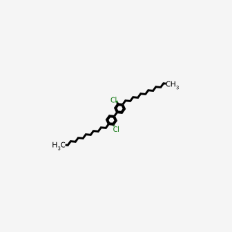 CCCCCCCCCCCCc1ccc(-c2ccc(CCCCCCCCCCCC)c(Cl)c2)cc1Cl